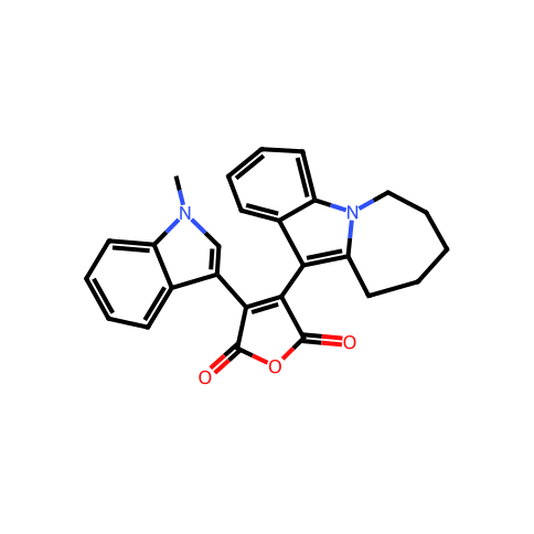 Cn1cc(C2=C(c3c4n(c5ccccc35)CCCCC4)C(=O)OC2=O)c2ccccc21